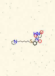 O=C1CCC(N2Cc3c(SCCCCCCCCN4CCCCC4)cccc3C2=O)C(=O)N1